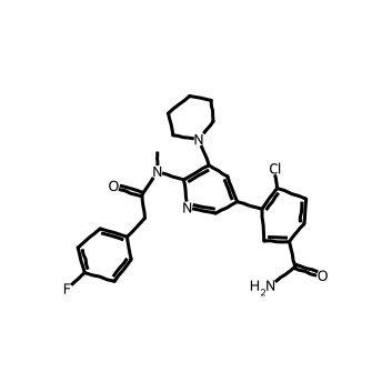 CN(C(=O)Cc1ccc(F)cc1)c1ncc(-c2cc(C(N)=O)ccc2Cl)cc1N1CCCCC1